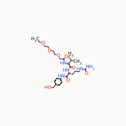 CCOCCOCCOCC(=O)N[C@H](C(=O)N[C@@H](CCCNC(N)=O)C(=O)Nc1ccc(CO)cc1)C(C)C